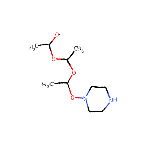 CC([O])OC(C)OC(C)ON1CCNCC1